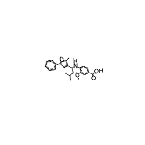 COc1cc(C(=O)O)ccc1NC(CC(C)C)c1cc(-c2ccccc2)oc1C